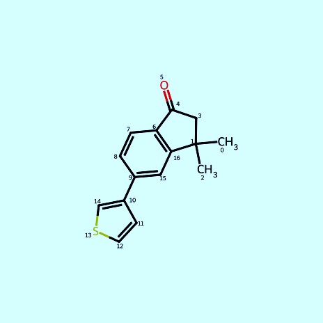 CC1(C)CC(=O)c2ccc(-c3ccsc3)cc21